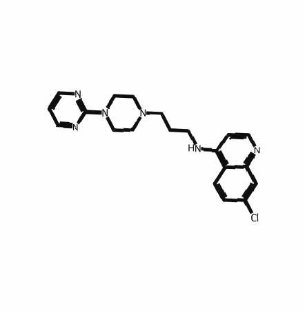 Clc1ccc2c(NCCCN3CCN(c4ncccn4)CC3)ccnc2c1